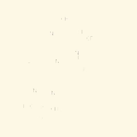 Cc1nc2cc(F)c(-c3cnc(P(C)(C)=O)nc3)nc2c(NC(c2ccccc2F)C(F)(F)F)c1Cl